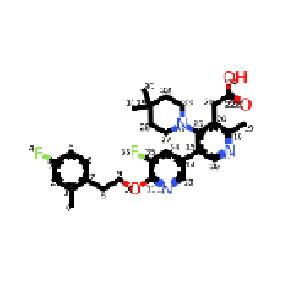 Cc1cc(F)ccc1CCOc1ncc(-c2cnc(C)c(CC(=O)O)c2N2CCC(C)(C)CC2)cc1F